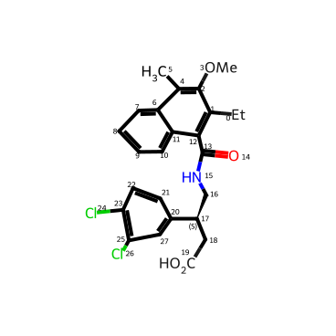 CCc1c(OC)c(C)c2ccccc2c1C(=O)NC[C@@H](CC(=O)O)c1ccc(Cl)c(Cl)c1